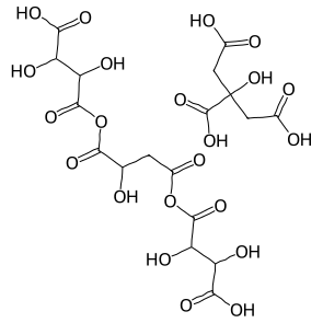 O=C(CC(O)C(=O)OC(=O)C(O)C(O)C(=O)O)OC(=O)C(O)C(O)C(=O)O.O=C(O)CC(O)(CC(=O)O)C(=O)O